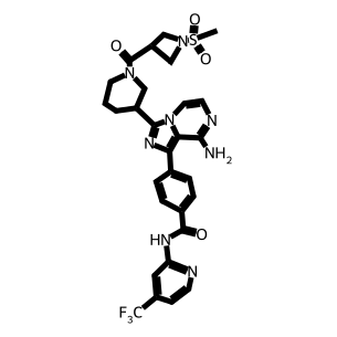 CS(=O)(=O)N1CC(C(=O)N2CCCC(c3nc(-c4ccc(C(=O)Nc5cc(C(F)(F)F)ccn5)cc4)c4c(N)nccn34)C2)C1